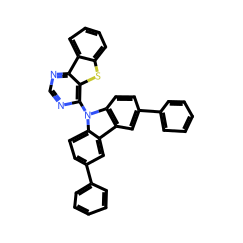 c1ccc(-c2ccc3c(c2)c2cc(-c4ccccc4)ccc2n3-c2ncnc3c2sc2ccccc23)cc1